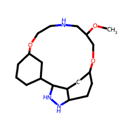 COC1CNCCOC2CCCC(C2)C2NNC3CCC(CC32)OC1